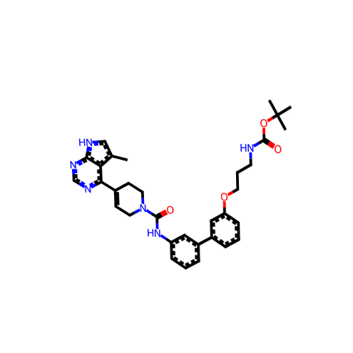 Cc1c[nH]c2ncnc(C3=CCN(C(=O)Nc4cccc(-c5cccc(OCCCNC(=O)OC(C)(C)C)c5)c4)CC3)c12